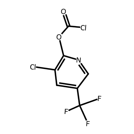 O=C(Cl)Oc1ncc(C(F)(F)F)cc1Cl